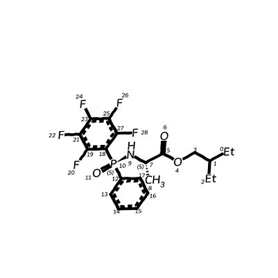 CCC(CC)COC(=O)[C@H](C)N[P@](=O)(c1ccccc1)c1c(F)c(F)c(F)c(F)c1F